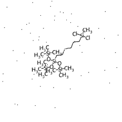 C[Si](Cl)(Cl)CCCCCC[Si](O[Si](C)(C)C)(O[Si](C)(C)C)O[Si](C)(C)C